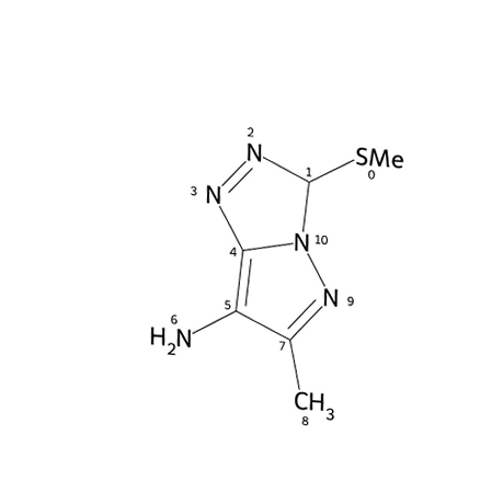 CSC1N=Nc2c(N)c(C)nn21